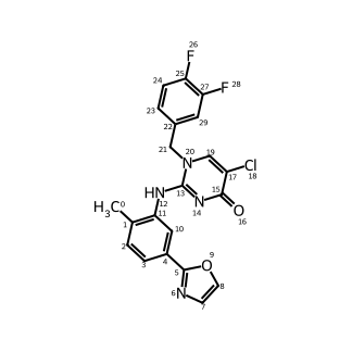 Cc1ccc(-c2ncco2)cc1Nc1nc(=O)c(Cl)cn1Cc1ccc(F)c(F)c1